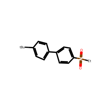 CCS(=O)(=O)c1ccc(-c2ccc(C(C)(C)C)cc2)cc1